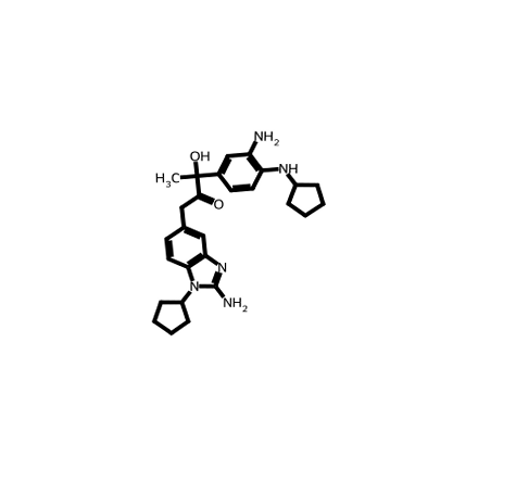 CC(O)(C(=O)Cc1ccc2c(c1)nc(N)n2C1CCCC1)c1ccc(NC2CCCC2)c(N)c1